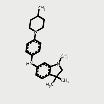 CC1CCN(c2ccc(Nc3ccc4c(c3)N(C)CC4(C)C)cc2)CC1